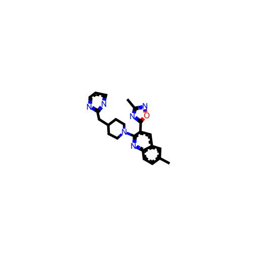 Cc1ccc2nc(N3CCC(Cc4ncccn4)CC3)c(-c3nc(C)no3)cc2c1